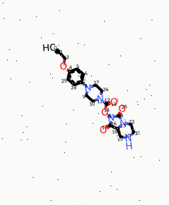 C#CCOc1ccc(N2CCN(C(=O)ON3C(=O)C4CNCCN4C3=O)CC2)cc1